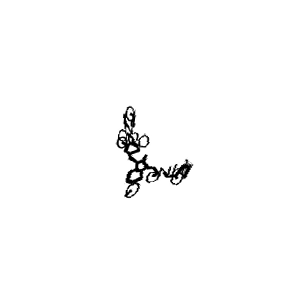 COc1ccc2c(c1)C(CC(=O)NCc1ccco1)=C(C)C2=Cc1cc(OC)c(OC(=O)N2CCOCC2)c(OC)c1